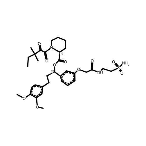 CCC(C)(C)C(=O)C(=O)N1CCCC[C@H]1C(=O)O[C@H](CCc1ccc(OC)c(OC)c1)c1cccc(OCC(=O)NCCS(N)(=O)=O)c1